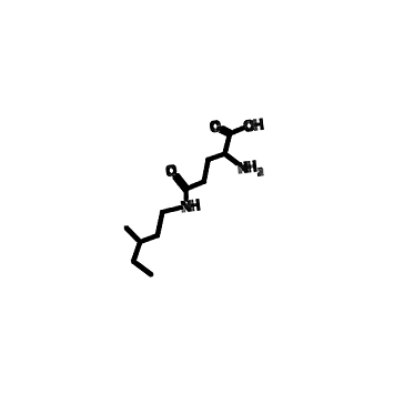 CCC(C)CCNC(=O)CCC(N)C(=O)O